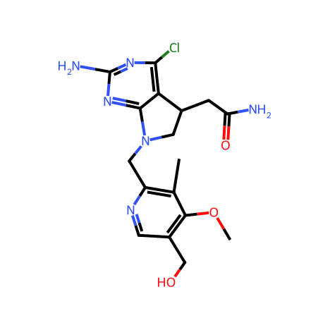 COc1c(CO)cnc(CN2CC(CC(N)=O)c3c(Cl)nc(N)nc32)c1C